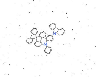 C1=CCC2C(=C1)c1ccccc1N2c1ccc(N(c2ccccc2)c2cccc3c2-c2ccccc2C32c3ccccc3-c3ccccc32)cc1